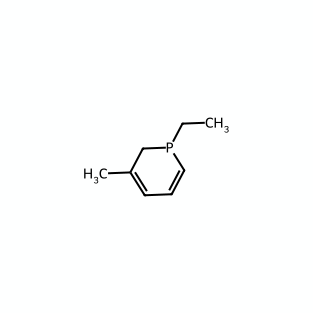 CCP1C=CC=C(C)C1